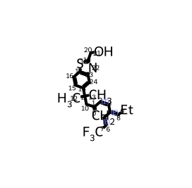 C=C(\C=C/C(/C=C/C(F)(F)F)=C\CC)CC(C)(C)c1ccc2sc(CO)nc2c1